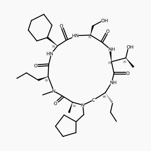 CCC[C@@H]1CN(CC2CCCC2)[C@@H](C)C(=O)N(C)[C@@H](CCC)C(=O)N[C@@H](C2CCCCC2)C(=O)N[C@@H](CO)C(=O)N[C@@H]([C@H](C)O)C(=O)N1